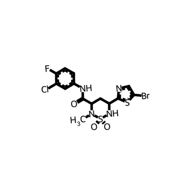 CN1C(C(=O)Nc2ccc(F)c(Cl)c2)CC(c2ncc(Br)s2)NS1(=O)=O